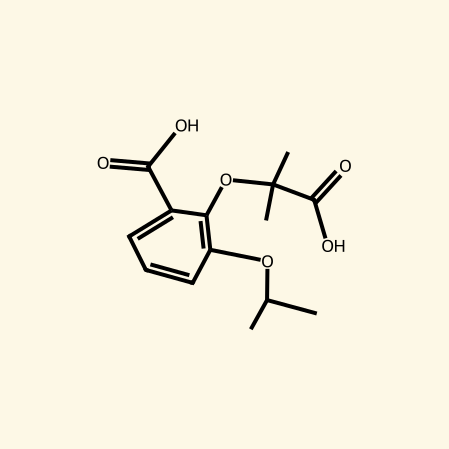 CC(C)Oc1cccc(C(=O)O)c1OC(C)(C)C(=O)O